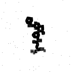 CN(C)CCC(=O)Nc1cccc(-n2c(=O)ccc3cnc(Nc4ccccc4)nc32)c1